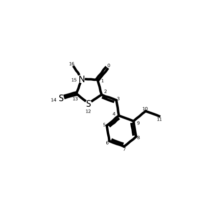 C=c1/c(=C/c2ccccc2CC)sc(=S)n1C